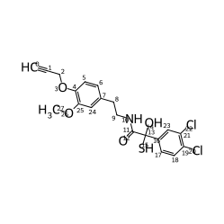 C#CCOc1ccc(CCNC(=O)C(O)(S)c2ccc(Cl)c(Cl)c2)cc1OC